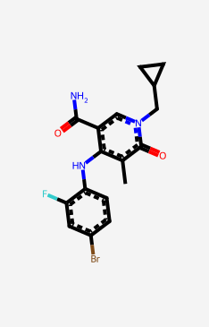 Cc1c(Nc2ccc(Br)cc2F)c(C(N)=O)cn(CC2CC2)c1=O